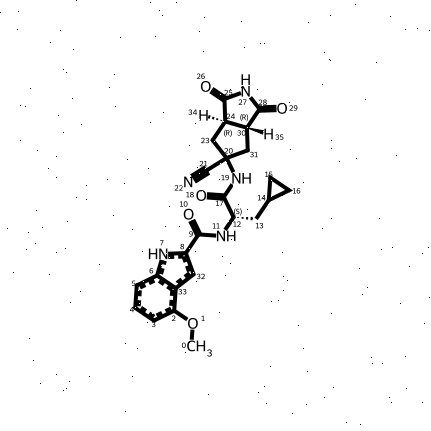 COc1cccc2[nH]c(C(=O)N[C@@H](CC3CC3)C(=O)NC3(C#N)C[C@H]4C(=O)NC(=O)[C@@H]4C3)cc12